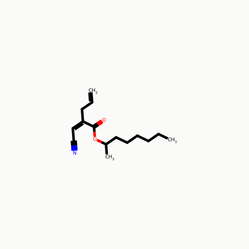 C=CCC(=CC#N)C(=O)OC(C)CCCCCC